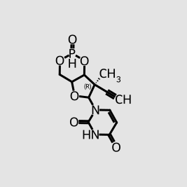 C#C[C@]1(C)C2O[PH](=O)OCC2OC1n1ccc(=O)[nH]c1=O